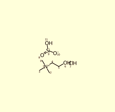 C[N+](C)(C)CCO.Cl.O=[Si]([O-])O